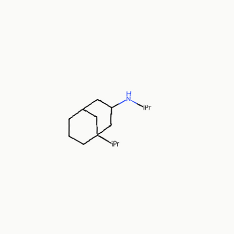 CC(C)NC1CC2CCCC(C(C)C)(C2)C1